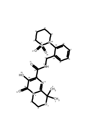 CC1(C)OCCn2c1nc(C(=O)NCc1ccccc1N1CCCCS1(=O)=O)c(O)c2=O